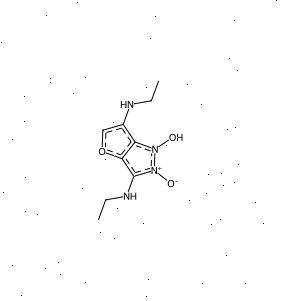 CCNc1coc2c(NCC)[n+]([O-])n(O)c12